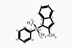 CC1=Cc2ccccc2[C]1[Si](C)(C)c1ccccc1